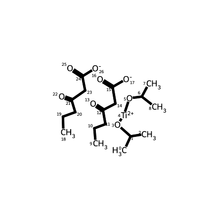 CC(C)[O][Ti+2][O]C(C)C.CCCC(=O)CC(=O)[O-].CCCC(=O)CC(=O)[O-]